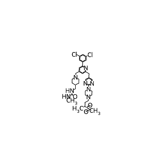 CNC(=O)NCC1CCN(Cc2cc(Cc3cnc(N4CCN(CCC(C)S(C)(=O)=O)CC4)nc3)nc(-c3cc(Cl)cc(Cl)c3)c2)CC1